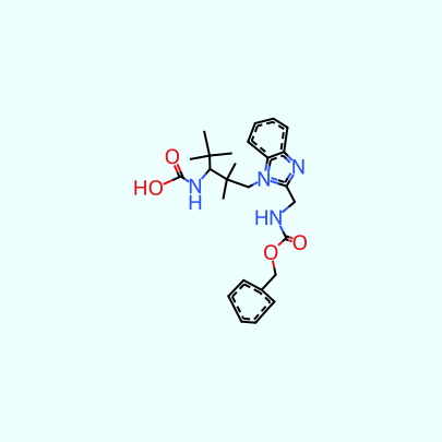 CC(C)(C)C(NC(=O)O)C(C)(C)Cn1c(CNC(=O)OCc2ccccc2)nc2ccccc21